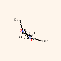 CCCCCCCCCCCCCCCCCC(=O)N1C(C)(C)CC(C(CC(=O)O)(C(=O)O)C2CC(C)(C)N(C(=O)CCCCCCCCCCCCCCCCC)C(C)(C)C2)CC1(C)C